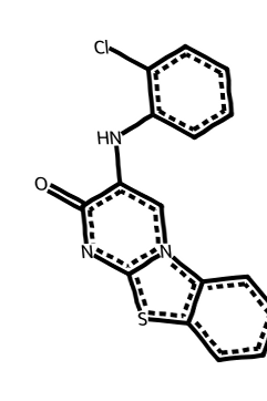 O=c1nc2sc3ccccc3n2cc1Nc1ccccc1Cl